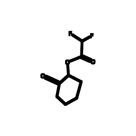 O=C(OC1CCCCC1=O)C(F)F